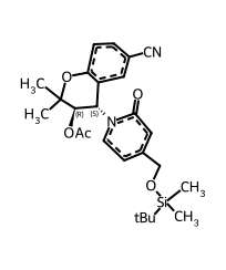 CC(=O)O[C@@H]1[C@@H](n2ccc(CO[Si](C)(C)C(C)(C)C)cc2=O)c2cc(C#N)ccc2OC1(C)C